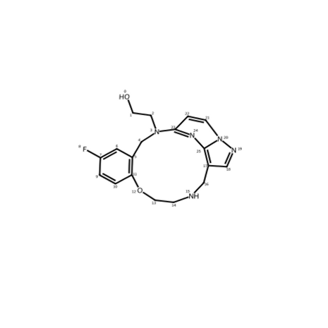 OCCN1Cc2cc(F)ccc2OCCNCc2cnn3ccc1nc23